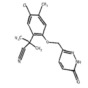 Cc1cc(OCc2ccc(=O)[nH]n2)c(C(C)(C)C#N)cc1Cl